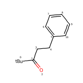 CC(C)(C)C(=O)[CH]Cc1ccccc1